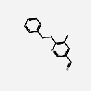 Cc1cc(C=O)cnc1OCc1ccccc1